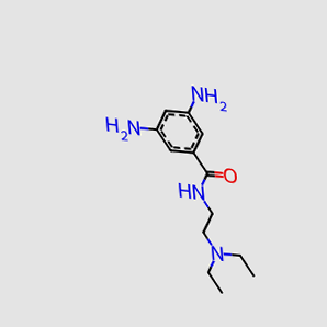 CCN(CC)CCNC(=O)c1cc(N)cc(N)c1